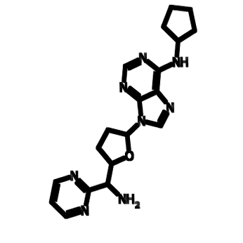 NC(c1ncccn1)C1CCC(n2cnc3c(NC4CCCC4)ncnc32)O1